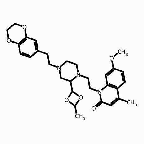 COc1ccc2c(C)cc(=O)n(CCN3CCN(CCc4ccc5c(c4)OCCO5)CC3C3OC(C)O3)c2c1